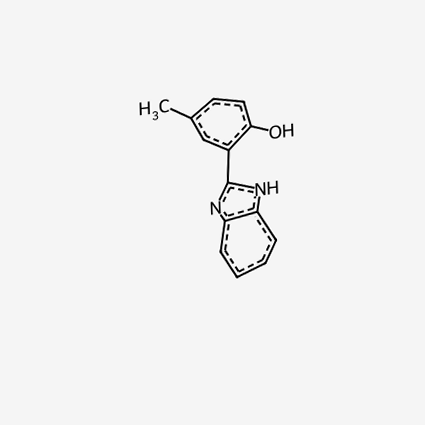 Cc1ccc(O)c(-c2nc3ccccc3[nH]2)c1